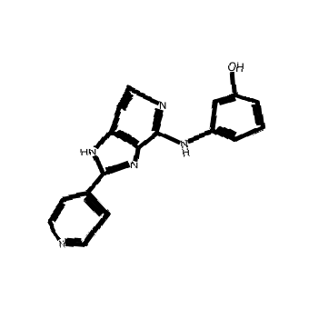 Oc1cccc(Nc2nccc3[nH]c(-c4ccncc4)nc23)c1